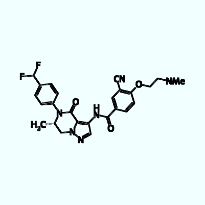 CNCCOc1ccc(C(=O)Nc2cnn3c2C(=O)N(c2ccc(C(F)F)cc2)[C@@H](C)C3)cc1C#N